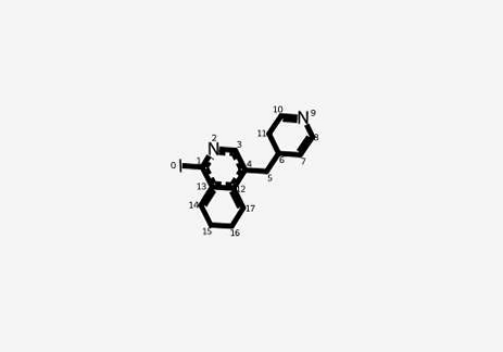 Ic1ncc(CC2C=CN=CC2)c2c1=CCCC=2